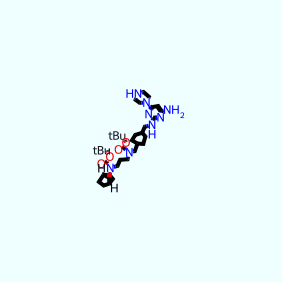 CC(C)(C)OC(=O)N(CCCN(C(=O)OC(C)(C)C)[C@H]1C[C@@H]2CC[C@H]1C2)CC1CCC(CNc2nc(N)cc(N3CCNCC3)n2)CC1